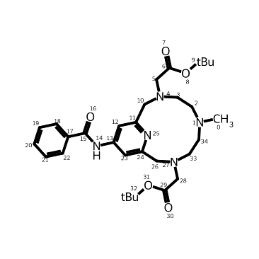 CN1CCN(CC(=O)OC(C)(C)C)Cc2cc(NC(=O)c3ccccc3)cc(n2)CN(CC(=O)OC(C)(C)C)CC1